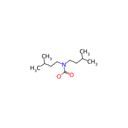 CC(C)CCN(CCC(C)C)C([O])=O